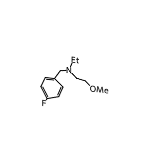 CCN(CCOC)Cc1ccc(F)cc1